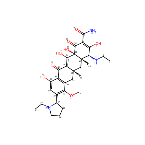 CCN[C@@H]1C(O)=C(C(N)=O)C(=O)[C@@]2(O)C(O)=C3C(=O)c4c(O)cc([C@H]5CCCN5CC)c(OC)c4C[C@H]3C[C@@H]12